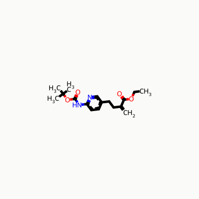 C=C(CCc1ccc(NC(=O)OC(C)(C)C)nc1)C(=O)OCC